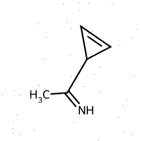 CC(=N)C1C=C1